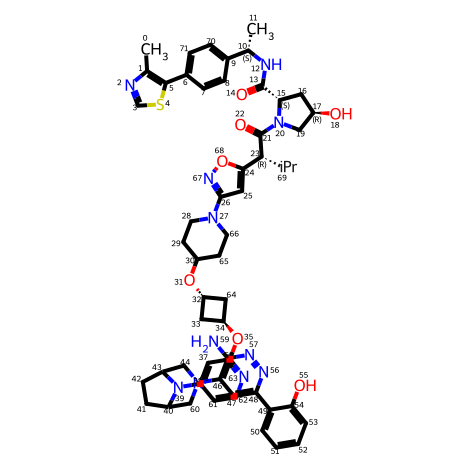 Cc1ncsc1-c1ccc([C@H](C)NC(=O)[C@@H]2C[C@@H](O)CN2C(=O)[C@@H](c2cc(N3CCC(O[C@H]4C[C@H](Oc5cc(N6C7CCC6CN(c6cc(-c8ccccc8O)nnc6N)C7)ccn5)C4)CC3)no2)C(C)C)cc1